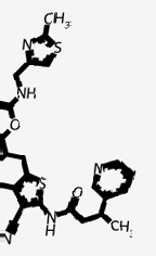 Cc1nc(CNC(=O)OCC2CCc3c(sc(NC(=O)CC(C)c4cccnc4)c3C#N)C2)cs1